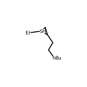 CCCCCCC1C[SH]1CC